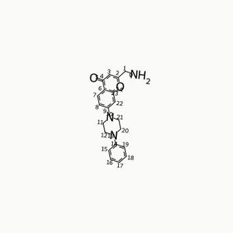 NCc1cc(=O)c2ccc(N3CCN(c4ccccc4)CC3)cc2o1